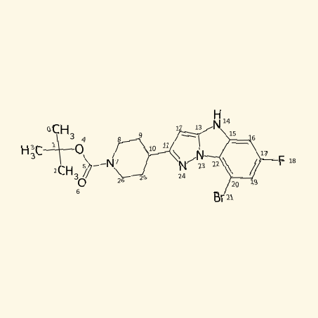 CC(C)(C)OC(=O)N1CCC(c2cc3[nH]c4cc(F)cc(Br)c4n3n2)CC1